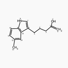 C=C(O)CCCc1c[nH]c2ccc(C)cc12